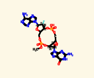 COP1(=O)OCC2O[C@@H](n3cnc4c(N)ncnc43)[C@H](F)[C@@H]2OP(=O)(O)OCC2O[C@@H](n3cnc4c(=O)[nH]c(N)nc43)[C@H](O1)[C@@H]2O